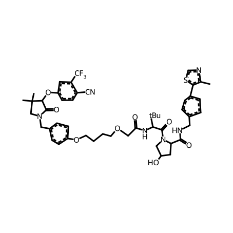 Cc1ncsc1-c1ccc(CNC(=O)C2CC(O)CN2C(=O)C(NC(=O)COCCCCOc2ccc(CN3CC(C)(C)C(Oc4ccc(C#N)c(C(F)(F)F)c4)C3=O)cc2)C(C)(C)C)cc1